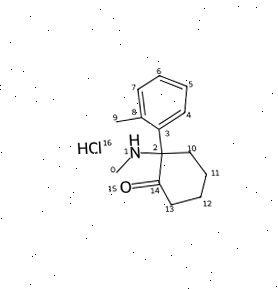 CNC1(c2ccccc2C)CCCCC1=O.Cl